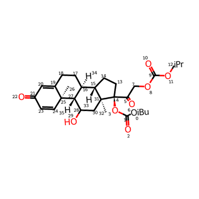 CC(C)COC(=O)O[C@]1(C(=O)COC(=O)OC(C)C)CC[C@H]2[C@@H]3CCC4=CC(=O)C=C[C@]4(C)[C@H]3C(O)C[C@@]21C